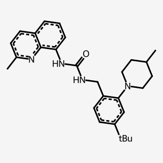 Cc1ccc2cccc(NC(=O)NCc3ccc(C(C)(C)C)cc3N3CCC(C)CC3)c2n1